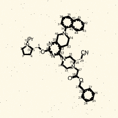 CC(C)N1CCC[C@H]1COc1nc2c(c(N3CCN(CC(=O)OCc4ccccc4)[C@@H](CC#N)C3)n1)CCN(c1cccc3ccccc13)C2